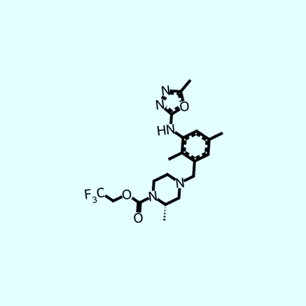 Cc1cc(CN2CCN(C(=O)OCC(F)(F)F)[C@@H](C)C2)c(C)c(Nc2nnc(C)o2)c1